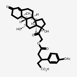 CC(=O)Oc1ccc(C(CC(=O)O)CC(=O)OCC(=O)[C@@]2(O)CC[C@H]3[C@@H]4CCC5=CC(=O)CC[C@]5(C)[C@H]4[C@@H](O)C[C@@]32C)cc1